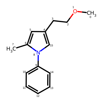 COCCc1cc(C)n(-c2ccccc2)c1